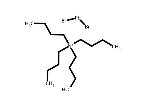 CCCC[N+](CCCC)(CCCC)CCCC.[Br][Pb][Br]